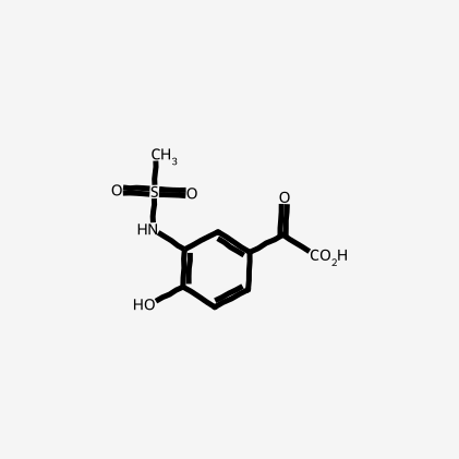 CS(=O)(=O)Nc1cc(C(=O)C(=O)O)ccc1O